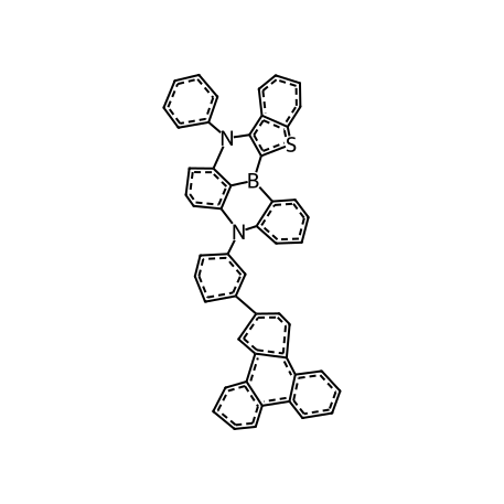 c1ccc(N2c3cccc4c3B(c3ccccc3N4c3cccc(-c4ccc5c6ccccc6c6ccccc6c5c4)c3)c3sc4ccccc4c32)cc1